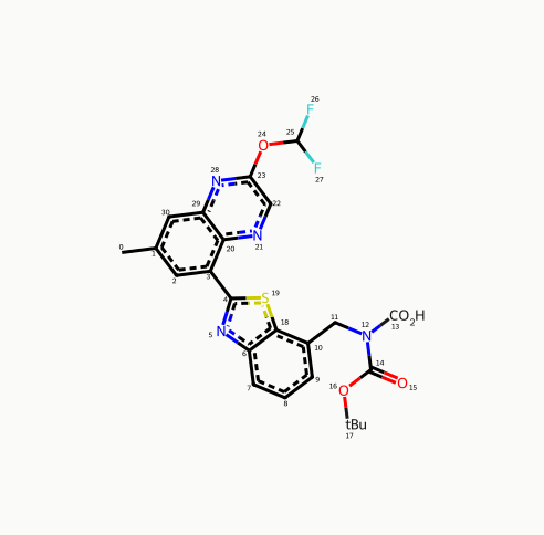 Cc1cc(-c2nc3cccc(CN(C(=O)O)C(=O)OC(C)(C)C)c3s2)c2ncc(OC(F)F)nc2c1